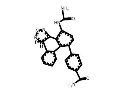 NC(=O)Nc1ccc(-c2ccc(C(N)=O)cc2)c(-c2ccccc2CF)c1-c1nnn[nH]1